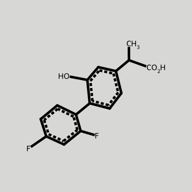 CC(C(=O)O)c1ccc(-c2ccc(F)cc2F)c(O)c1